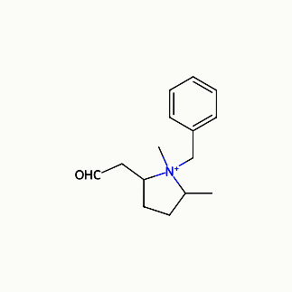 CC1CCC(CC=O)[N+]1(C)Cc1ccccc1